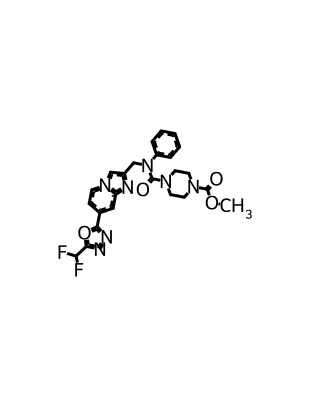 COC(=O)N1CCN(C(=O)N(Cc2cn3ccc(-c4nnc(C(F)F)o4)cc3n2)c2ccccc2)CC1